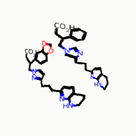 O=C(O)CC(Cn1ccc(CCCc2ccc3c(n2)NCCC3)n1)c1ccc2c(c1)OCO2.O=C(O)CC(Cn1cnc(CCCc2ccc3c(n2)NCCC3)c1)c1ccccc1